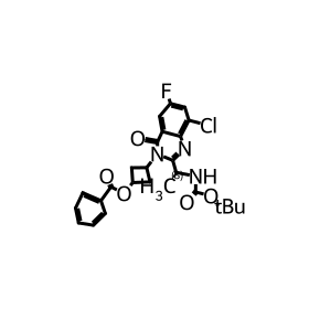 C[C@H](NC(=O)OC(C)(C)C)c1nc2c(Cl)cc(F)cc2c(=O)n1C1CC(OC(=O)c2ccccc2)C1